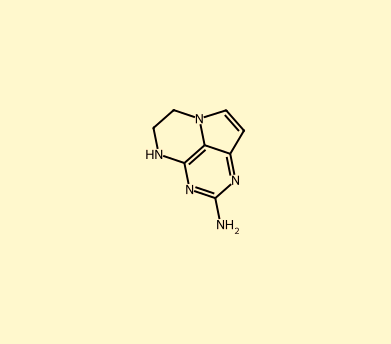 Nc1nc2c3c(ccn3CCN2)n1